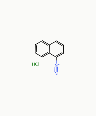 Cl.N#[N+]c1cccc2ccccc12